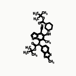 Cc1nc2ccc(N(C(=O)OC(C)(C)C)c3c(C)c(N[C@H]4CCCN(C(=O)OC(C)(C)C)C4)c(C#N)c4ccnn34)cc2s1